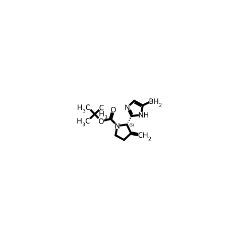 Bc1cnc([C@@H]2C(=C)CCN2C(=O)OC(C)(C)C)[nH]1